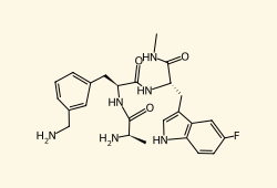 CNC(=O)[C@H](Cc1c[nH]c2ccc(F)cc12)NC(=O)[C@H](Cc1cccc(CN)c1)NC(=O)[C@@H](C)N